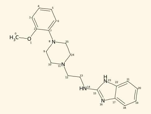 COc1ccccc1N1CCN(CCNc2nc3ccccc3[nH]2)CC1